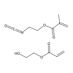 C=C(C)C(=O)OCCN=C=O.C=CC(=O)OCCO